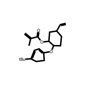 C=CC1CCC(OC2=CC=C(C(C)(C)C)CC2)C(OC(=O)C(=C)C)C1